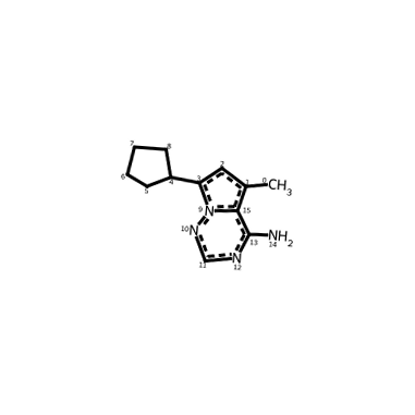 Cc1cc(C2CCCC2)n2ncnc(N)c12